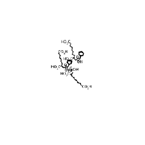 CP(=O)(O)CC(CCCCCCCC(=O)O)C(=O)O.O=C(O)CCCCCCC(CP(=O)(O)Cc1ccccc1)C(=O)O.O=C(O)CCCCCCCC(CP(=O)(O)Cc1ccccc1)C(=O)O